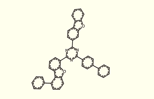 c1ccc(-c2ccc(-c3nc(-c4ccc5c(c4)oc4ccccc45)nc(-c4cccc5c4oc4cccc(-c6ccccc6)c45)n3)cc2)cc1